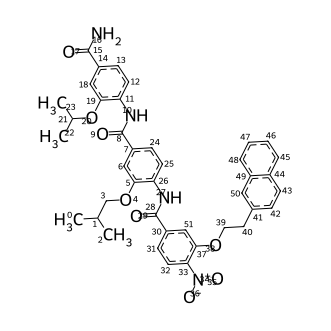 CC(C)COc1cc(C(=O)Nc2ccc(C(N)=O)cc2OC(C)C)ccc1NC(=O)c1ccc([N+](=O)[O-])c(OCCc2ccc3ccccc3c2)c1